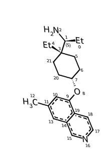 CC[C@H](N)[C@]1(CC)CC[C@H](Oc2cc(C)cc3cnccc23)CC1